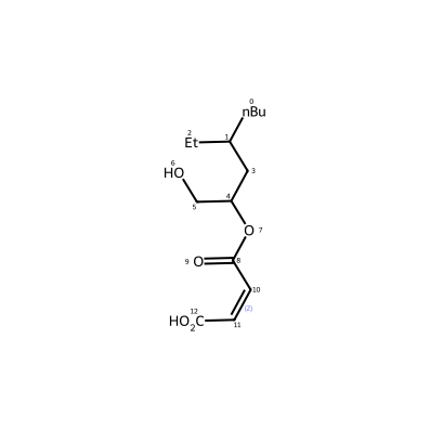 CCCCC(CC)CC(CO)OC(=O)/C=C\C(=O)O